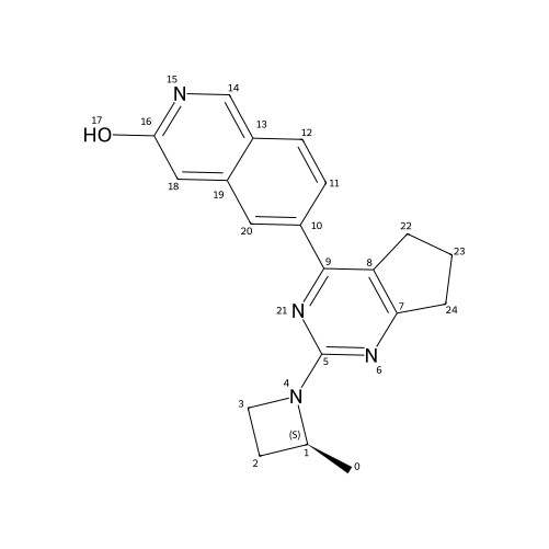 C[C@H]1CCN1c1nc2c(c(-c3ccc4cnc(O)cc4c3)n1)CCC2